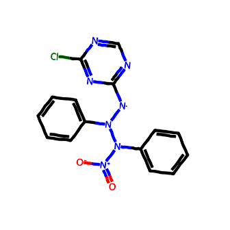 O=[N+]([O-])N(c1ccccc1)N([N]c1ncnc(Cl)n1)c1ccccc1